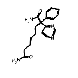 NC(=O)CCCCCC(C(N)=O)(c1ccccc1)c1ccncn1